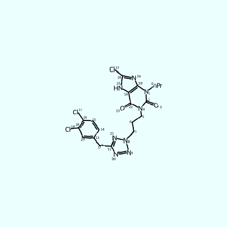 CCCn1c(=O)n(CCCn2nnc(Cc3ccc(Cl)c(Cl)c3)n2)c(=O)c2[nH]c(Cl)nc21